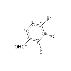 O=Cc1ccc(Br)c(Cl)c1F